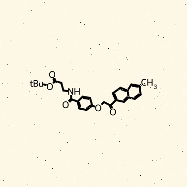 Cc1ccc2cc(C(=O)COc3ccc(C(=O)NCCC(=O)OC(C)(C)C)cc3)ccc2c1